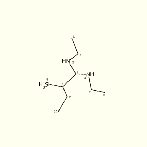 CCNC(NCC)C([SiH3])CC